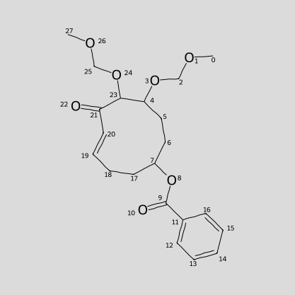 COCOC1CCC(OC(=O)c2ccccc2)CC/C=C/C(=O)C1OCOC